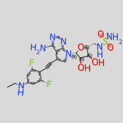 CCNc1cc(F)c(C#Cc2cn([C@@H]3O[C@H](CNS(N)(=O)=O)[C@@H](O)[C@H]3O)c3ncnc(N)c23)c(F)c1